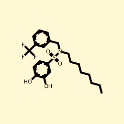 CCCCCCCCN(Cc1cccc(C(F)(F)F)c1)S(=O)(=O)c1ccc(O)c(O)c1